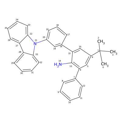 CC(C)(C)c1cc(-c2ccccc2)c(N)c(-c2cccc(-n3c4ccccc4c4ccccc43)c2)c1